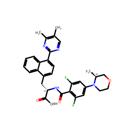 COC(=O)[C@H](Cc1ccc(-c2ncc(C)c(C)n2)c2ccccc12)NC(=O)c1c(F)cc(N2CCOC[C@@H]2C(F)(F)F)cc1F